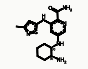 Cc1cc(Nc2cc(N[C@@H]3CCCC[C@@H]3N)cnc2C(N)=O)sn1